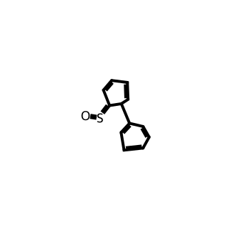 O=S=C1C=CC=CC1c1ccccc1